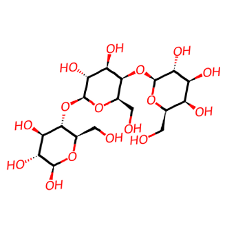 OC[C@H]1O[C@@H](O[C@@H]2[C@H](O)[C@@H](O)[C@H](O[C@H]3[C@H](O)[C@@H](O)[C@H](O)O[C@@H]3CO)O[C@@H]2CO)[C@H](O)[C@@H](O)[C@H]1O